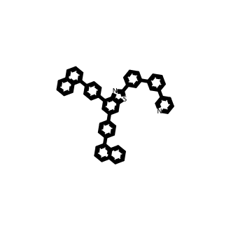 c1cncc(-c2cccc(-c3cccc(-c4nc5c(-c6ccc(-c7cccc8ccccc78)cc6)cc(-c6ccc(-c7cccc8ccccc78)cc6)cc5s4)c3)c2)c1